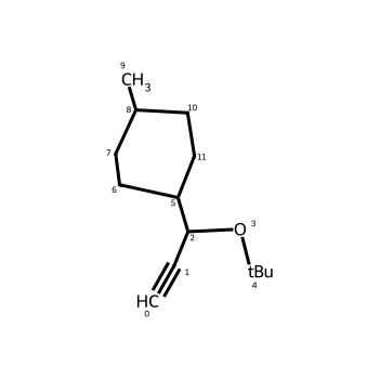 C#CC(OC(C)(C)C)C1CCC(C)CC1